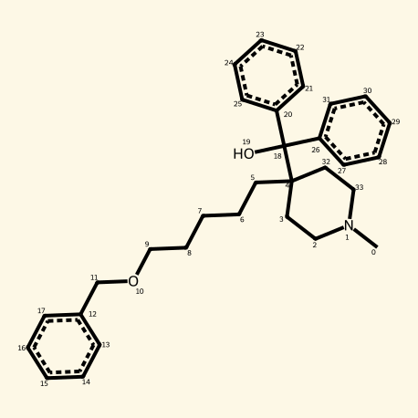 CN1CCC(CCCCCOCc2ccccc2)(C(O)(c2ccccc2)c2ccccc2)CC1